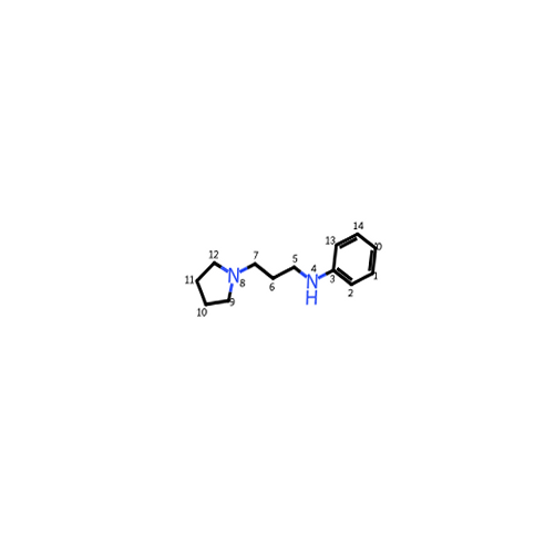 [c]1ccc(NCCCN2CCCC2)cc1